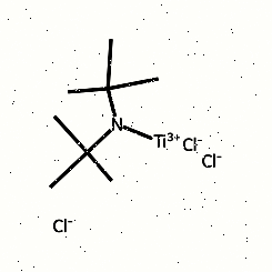 CC(C)(C)[N]([Ti+3])C(C)(C)C.[Cl-].[Cl-].[Cl-]